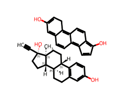 C#C[C@]1(O)CC[C@H]2[C@@H]3CCc4cc(O)ccc4[C@H]3CC[C@@]21C.OC1=CCc2c(ccc3c4c(ccc23)=C(O)C=C4)=C1